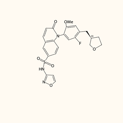 COc1cc(C[C@H]2CCOC2)c(F)cc1-n1c(=O)ccc2cc(S(=O)(=O)Nc3ccon3)ccc21